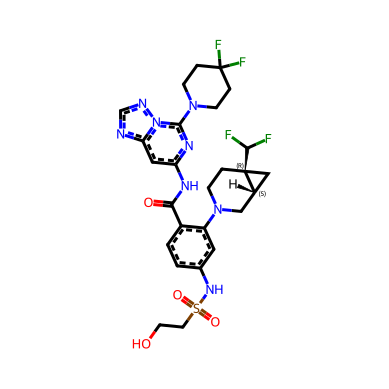 O=C(Nc1cc2ncnn2c(N2CCC(F)(F)CC2)n1)c1ccc(NS(=O)(=O)CCO)cc1N1CC[C@]2(C(F)F)C[C@@H]2C1